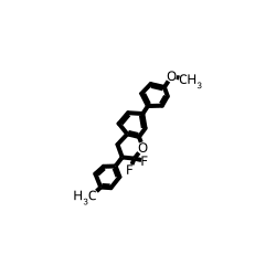 COc1ccc(-c2ccc3c(c2)OC(F)(F)C(c2ccc(C)cc2)C3)cc1